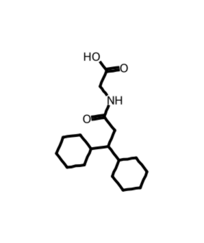 O=C(O)CNC(=O)CC(C1CCCCC1)C1CCCCC1